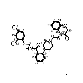 O=C(NCCc1ccc(Cl)cc1Cl)c1ccccc1C1CCN(CCN2C(=O)COc3ccccc32)CC1